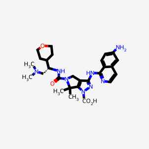 CN(C)C[C@@H](NC(=O)N1Cc2c(Nc3nccc4cc(N)ccc34)nn(C(=O)O)c2C1(C)C)C1CCOCC1